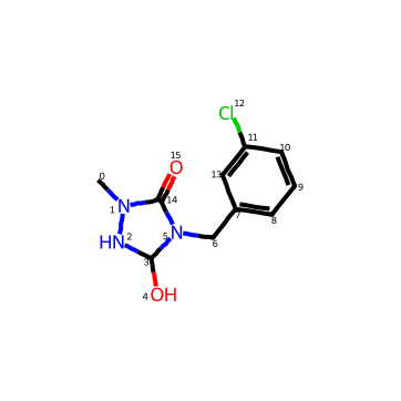 CN1NC(O)N(Cc2cccc(Cl)c2)C1=O